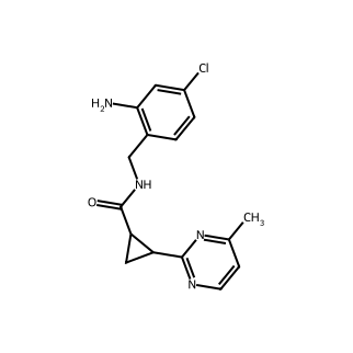 Cc1ccnc(C2CC2C(=O)NCc2ccc(Cl)cc2N)n1